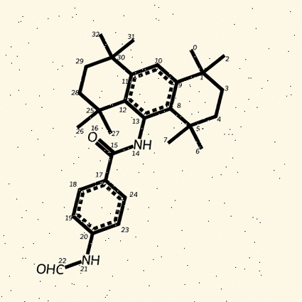 CC1(C)CCC(C)(C)c2c1cc1c(c2NC(=O)c2ccc(NC=O)cc2)C(C)(C)CCC1(C)C